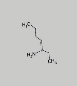 CCCC=C(N)CC